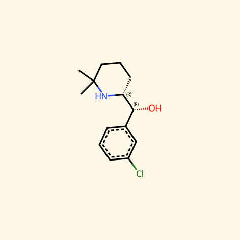 CC1(C)CCC[C@H]([C@H](O)c2cccc(Cl)c2)N1